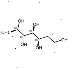 O=C[C@@H](O)[C@@H](O)[C@@H](O)[C@H](O)CCO